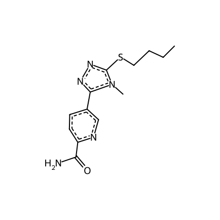 CCCCSc1nnc(-c2ccc(C(N)=O)nc2)n1C